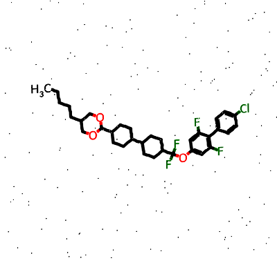 CCCCCC1COC(C2CCC(C3CCC(C(F)(F)Oc4cc(F)c(-c5ccc(Cl)cc5)c(F)c4)CC3)CC2)OC1